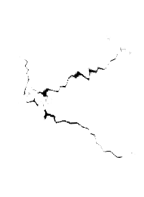 CCCCCCCCCCCCCCCC(=O)OCC(C[N+](C)(C)CCCCCCO)OC(=O)CCCCCCCCCCCCCCC.[Br-]